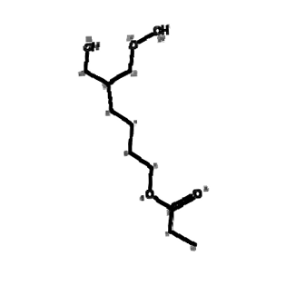 CCC(=O)OCCCCC(CO)COO